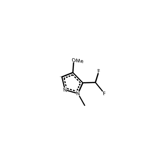 COc1[c]nn(C)c1C(F)F